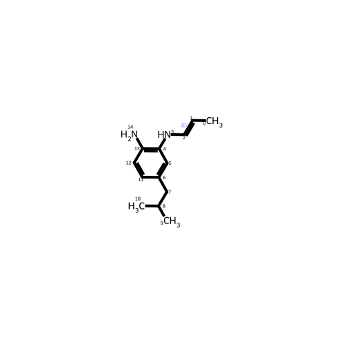 C/C=C/Nc1cc(CC(C)C)ccc1N